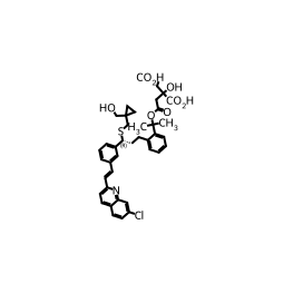 CC(C)(OC(=O)CC(O)(CC(=O)O)C(=O)O)c1ccccc1CC[C@@H](SCC1(CO)CC1)c1cccc(C=Cc2ccc3ccc(Cl)cc3n2)c1